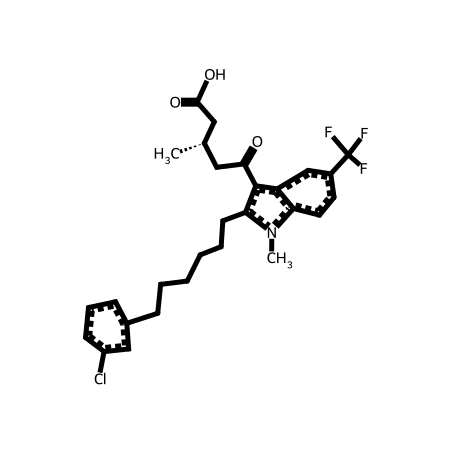 C[C@H](CC(=O)O)CC(=O)c1c(CCCCCCc2cccc(Cl)c2)n(C)c2ccc(C(F)(F)F)cc12